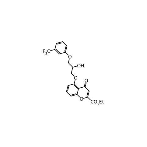 CCOC(=O)c1cc(=O)c2c(OCC(O)COc3cccc(C(F)(F)F)c3)cccc2o1